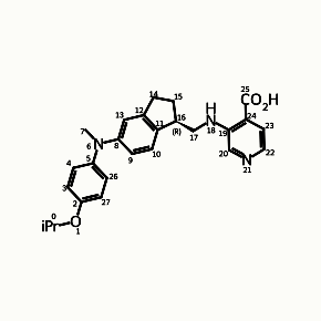 CC(C)Oc1ccc(N(C)c2ccc3c(c2)CC[C@H]3CNc2cnccc2C(=O)O)cc1